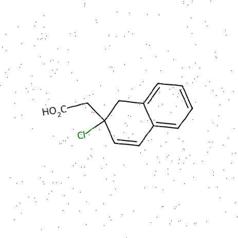 O=C(O)CC1(Cl)C=Cc2ccccc2C1